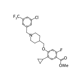 COC(=O)c1cc(C2CC2)c(OCC2CCN(Cc3cc(Cl)cc(C(F)(F)F)c3)CC2)cc1F